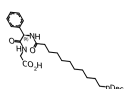 CCCCCCCCCCCCCCCCCCCCC(=O)N[C@@H](C(=O)NCC(=O)O)c1ccccc1